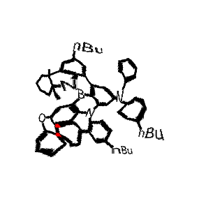 CCCCc1ccc(N(c2ccccc2)c2cc3c4c(c2)N(c2ccc(CCCC)cc2-c2ccccc2)c2cc5c(cc2B4N2c4c-3cc(CCCC)cc4C3(C)CCCCC23C)oc2ccccc25)cc1